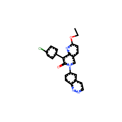 CCOc1ccc2cn(-c3ccc4nnccc4c3)c(=O)c(-c3ccc(Cl)cc3)c2n1